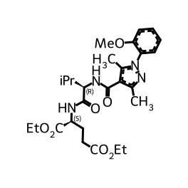 CCOC(=O)CC[C@H](NC(=O)[C@H](NC(=O)c1c(C)nn(-c2ccccc2OC)c1C)C(C)C)C(=O)OCC